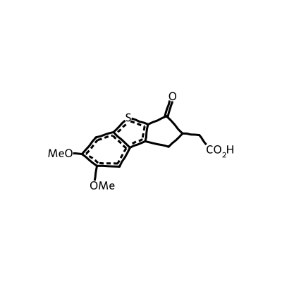 COc1cc2sc3c(c2cc1OC)CC(CC(=O)O)C3=O